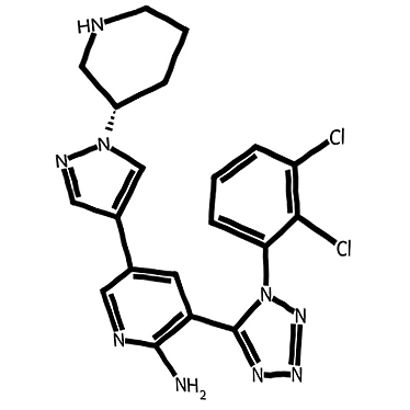 Nc1ncc(-c2cnn([C@H]3CCCNC3)c2)cc1-c1nnnn1-c1cccc(Cl)c1Cl